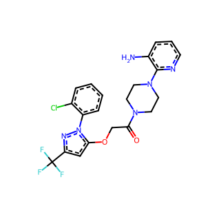 Nc1cccnc1N1CCN(C(=O)COc2cc(C(F)(F)F)nn2-c2ccccc2Cl)CC1